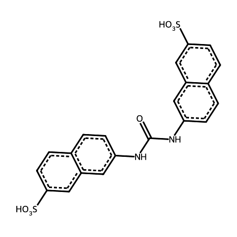 O=C(Nc1ccc2ccc(S(=O)(=O)O)cc2c1)Nc1ccc2ccc(S(=O)(=O)O)cc2c1